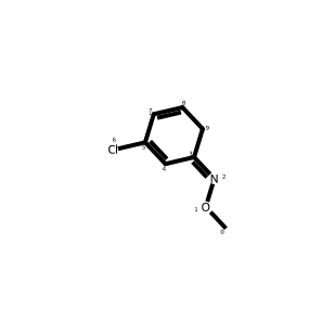 CON=C1C=C(Cl)[C]=CC1